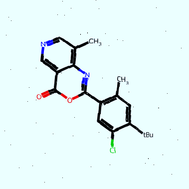 Cc1cc(C(C)(C)C)c(Cl)cc1-c1nc2c(C)cncc2c(=O)o1